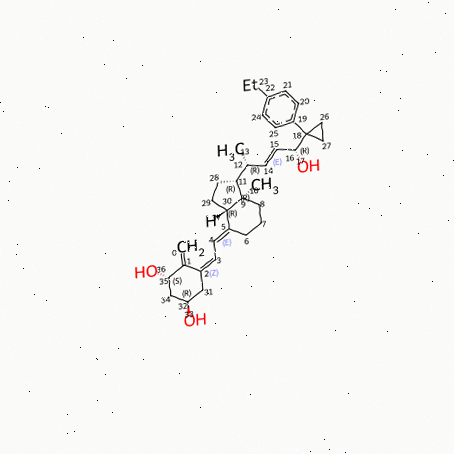 C=C1/C(=C\C=C2/CCC[C@]3(C)[C@@H]([C@H](C)/C=C/[C@@H](O)C4(c5ccc(CC)cc5)CC4)CC[C@@H]23)C[C@@H](O)C[C@@H]1O